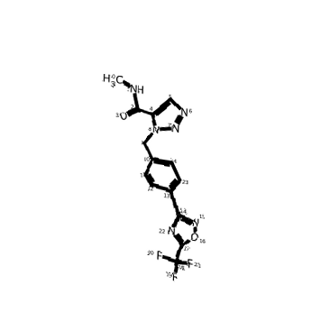 CNC(=O)c1cnnn1Cc1ccc(-c2noc(C(F)(F)F)n2)cc1